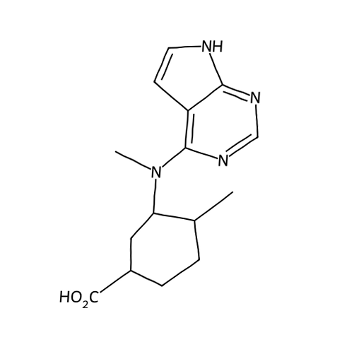 CC1CCC(C(=O)O)CC1N(C)c1ncnc2[nH]ccc12